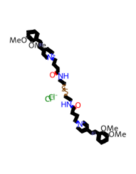 COc1cccc(/C=C/c2cc[n+](CCCC(=O)NCCSSCCNC(=O)CCC[n+]3ccc(/C=C/c4cccc(OC)c4OC)cc3)cc2)c1OC.[Cl-].[Cl-]